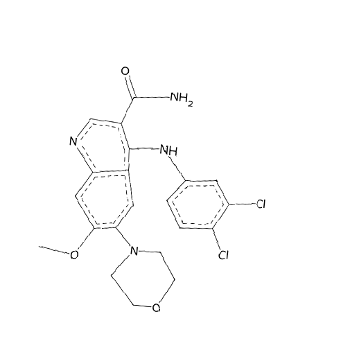 COc1cc2ncc(C(N)=O)c(Nc3ccc(Cl)c(Cl)c3)c2cc1N1CCOCC1